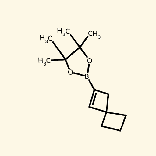 CC1(C)OB(C2=CC3(CCC3)C2)OC1(C)C